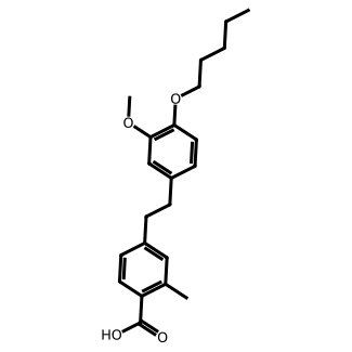 CCCCCOc1ccc(CCc2ccc(C(=O)O)c(C)c2)cc1OC